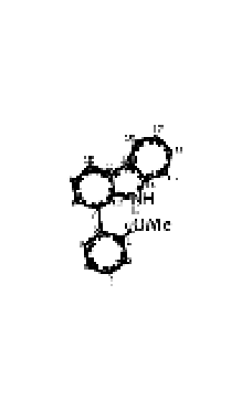 COc1[c]cccc1-c1cccc2c1[nH]c1ccccc12